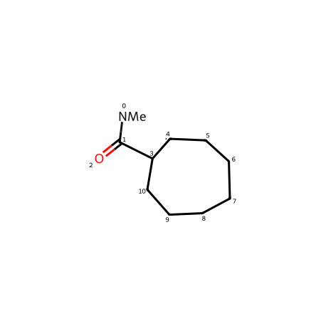 CNC(=O)C1[CH]CCCCCC1